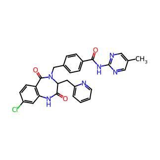 Cc1cnc(NC(=O)c2ccc(CN3C(=O)c4ccc(Cl)cc4NC(=O)C3Cc3ccccn3)cc2)nc1